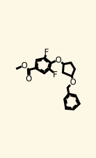 COC(=O)c1cc(F)c(OC2CCC(OCc3ccccc3)C2)c(F)c1